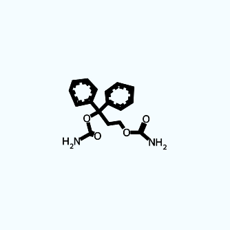 NC(=O)OCCC(OC(N)=O)(c1ccccc1)c1ccccc1